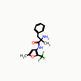 Cc1cc(NC(=O)C(C)(N)Cc2ccccc2)c(C(F)(F)F)o1